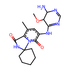 COC1C(Nc2cc(C)c3n(c2=O)C2(CCCCC2)NC3=O)=NC=NC1N